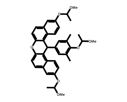 COC(C)Oc1ccc2c3c(ccc2c1)Oc1ccc2cc(OC(C)OC)ccc2c1C3c1cc(C)c(OC(C)OC)c(C)c1